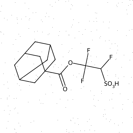 O=C(OC(F)(F)C(F)S(=O)(=O)O)C12CC3CC(CC(C3)C1)C2